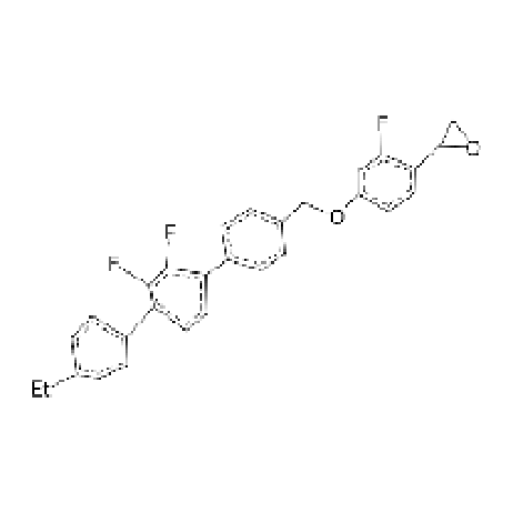 CCc1ccc(-c2ccc(-c3ccc(COc4ccc(C5CO5)c(F)c4)cc3)c(F)c2F)cc1